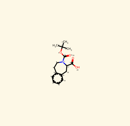 CC(C)(C)OC(=O)N1CCc2ccccc2CC1C(=O)O